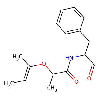 CC=C(C)OC(C)C(=O)NC(C=O)Cc1ccccc1